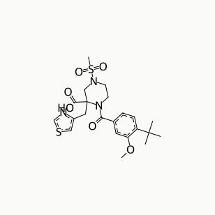 COc1cc(C(=O)N2CCN(S(C)(=O)=O)CC2(Cc2cscn2)C(=O)O)ccc1C(C)(C)C